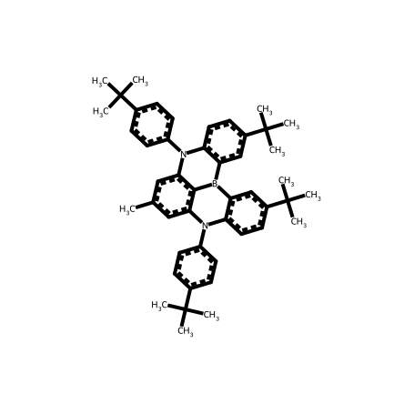 Cc1cc2c3c(c1)N(c1ccc(C(C)(C)C)cc1)c1ccc(C(C)(C)C)cc1B3c1cc(C(C)(C)C)ccc1N2c1ccc(C(C)(C)C)cc1